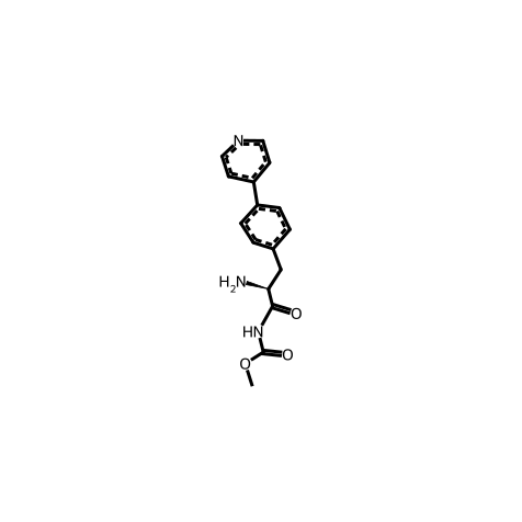 COC(=O)NC(=O)[C@@H](N)Cc1ccc(-c2ccncc2)cc1